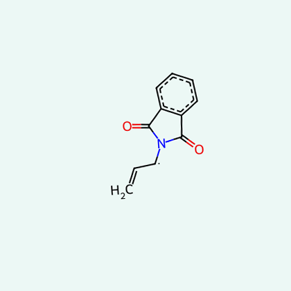 C=C[CH]N1C(=O)c2ccccc2C1=O